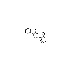 Cc1cc(-c2ccc(N3N=CCCC3=O)cc2F)ccc1F